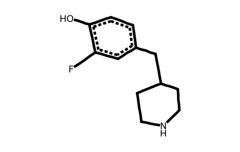 Oc1ccc(CC2CCNCC2)cc1F